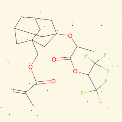 C=C(C)C(=O)OCC12CC3CC(C1)CC(OC(C)C(=O)OC(C(F)(F)F)C(F)(F)F)(C3)C2